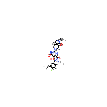 Cc1cc(CN(C)C(=O)c2nc(N3CCC4(CCN(C)C4=O)CC3)[nH]c(=O)c2O)ccc1F